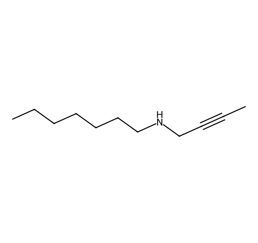 CC#CCNCCCCCCC